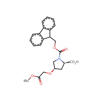 CC(C)(C)OC(=O)CO[C@@H]1C[C@H](C(=O)O)N(C(=O)OCC2c3ccccc3-c3ccccc32)C1